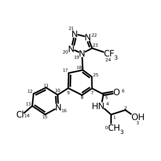 CC(CO)NC(=O)c1cc(-c2ccc(Cl)cn2)cc(-n2nnnc2C(F)(F)F)c1